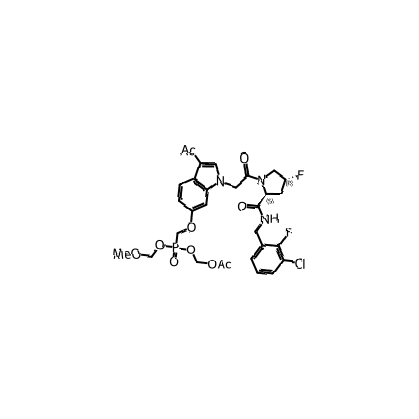 COCOP(=O)(COc1ccc2c(C(C)=O)cn(CC(=O)N3C[C@H](F)C[C@H]3C(=O)NCc3cccc(Cl)c3F)c2c1)OCOC(C)=O